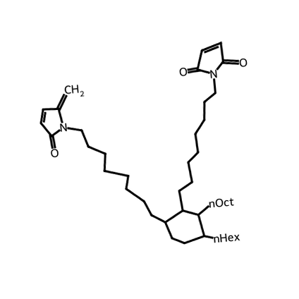 C=C1C=CC(=O)N1CCCCCCCCC1CCC(CCCCCC)C(CCCCCCCC)C1CCCCCCCCN1C(=O)C=CC1=O